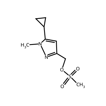 Cn1nc(COS(C)(=O)=O)cc1C1CC1